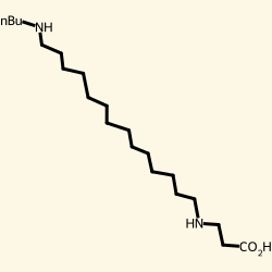 CCCCNCCCCCCCCCCCCCCNCCC(=O)O